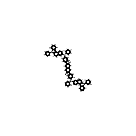 c1ccc(N(c2ccc3c(ccc4c3c3ccccc3n4-c3ccccc3)c2)c2ccc3c(c2)oc2cc4cc5c(cc4cc23)oc2cc(N(c3ccccc3)c3ccc4c(ccc6c4c4ccccc4n6-c4ccccc4)c3)ccc25)cc1